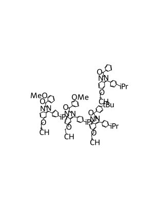 C#CCOc1ccc2nc(C(=O)c3ccc(C(C)(C)C)cc3)nc(-c3ccc(C(C)C)cc3)c2c1.C#CCOc1ccc2nc(C(=O)c3cccc(OC)c3)nc(-c3ccc(C(C)C)cc3)c2c1.C#CCOc1ccc2nc(C(=O)c3ccccc3)nc(-c3ccc(C(C)C)cc3)c2c1.C#CCOc1ccc2nc(C(=O)c3ccccc3OC)nc(-c3ccc(C(C)C)cc3)c2c1